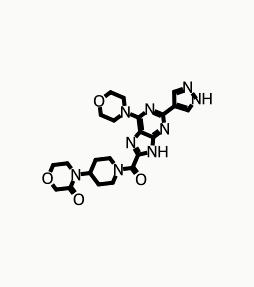 O=C(c1nc2c(N3CCOCC3)nc(-c3cn[nH]c3)nc2[nH]1)N1CCC(N2CCOCC2=O)CC1